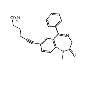 CN1C(=O)CN=C(c2ccccc2)c2cc(C#CCCCC(=O)O)ccc21